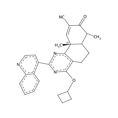 CC1C(=O)C(C#N)=C[C@@]2(C)c3nc(-c4ccnc5ccccc45)nc(OC4CCC4)c3CCC12